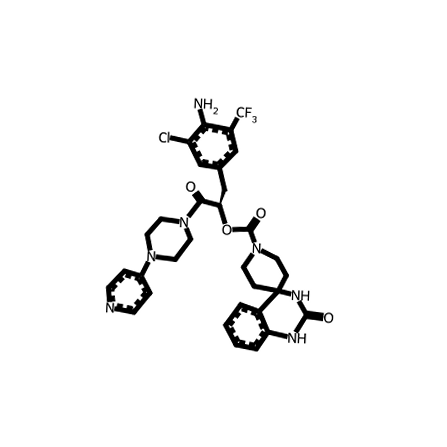 Nc1c(Cl)cc(C[C@@H](OC(=O)N2CCC3(CC2)NC(=O)Nc2ccccc23)C(=O)N2CCN(c3ccncc3)CC2)cc1C(F)(F)F